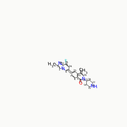 Cc1cn2cc(-c3ccc4c(=O)n(C5CCNCC5)cc(C)c4c3)cc(F)c2n1